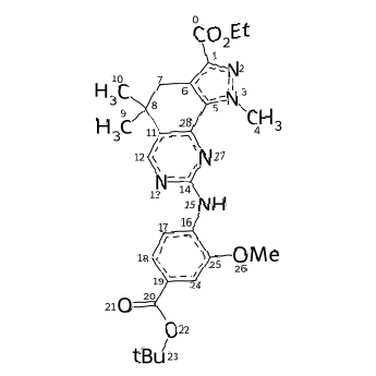 CCOC(=O)c1nn(C)c2c1CC(C)(C)c1cnc(Nc3ccc(C(=O)OC(C)(C)C)cc3OC)nc1-2